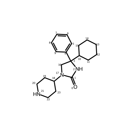 O=C1NC(c2ccccc2)(C2CCCCC2)CN1C1CCNCC1